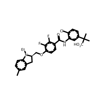 CCN1c2ccc(C)cc2C[C@@H]1COc1ccc(C(=O)Nc2cc(C(C)(C)C(=O)O)ccc2Cl)c(F)c1F